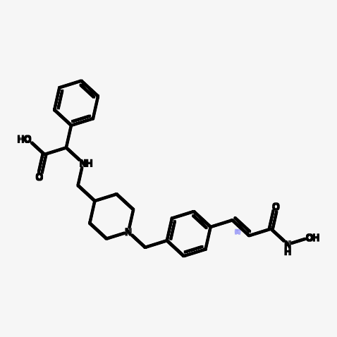 O=C(/C=C/c1ccc(CN2CCC(CNC(C(=O)O)c3ccccc3)CC2)cc1)NO